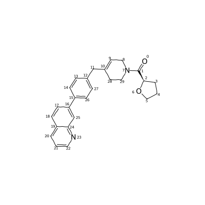 O=C([C@H]1CCCO1)N1CC=C(Cc2ccc(-c3ccc4cccnc4c3)cc2)CC1